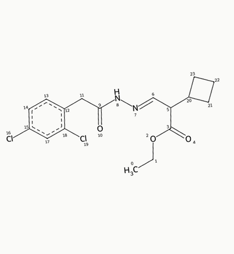 CCOC(=O)C(C=NNC(=O)Cc1ccc(Cl)cc1Cl)C1CCC1